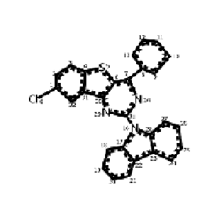 Clc1ccc2sc3c(-c4ccccc4)nc(-n4c5ccccc5c5ccccc54)nc3c2c1